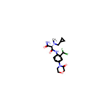 CN(CC1CC1)[C@@H](C(N)=O)C(=O)Nc1ccc(N2CCOCC2=O)cc1C(F)F